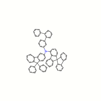 c1ccc(-c2ccccc2-c2cccc(N(c3ccc4c(c3)-c3ccccc3C4(c3ccccc3)c3ccccc3)c3cccc4c3-c3ccccc3C43c4ccccc4-c4ccccc43)c2)cc1